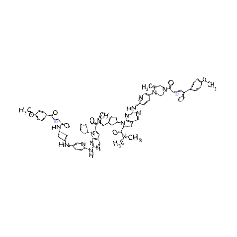 COc1ccc(C(=O)/C=C/C(=O)N[C@H]2C[C@H](Nc3ccc(Nc4ncc5cc(C(=O)N(C)CC6CCC(n7c(C(=O)N(C)C)cc8cnc(Nc9ccc(N%10CCN(C(=O)/C=C/C(=O)c%11ccc(OC)cc%11)C[C@H]%10C)cn9)nc87)C6)n(C6CCCC6)c5n4)nc3)C2)cc1